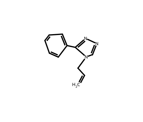 C=CCn1[c]nnc1-c1ccccc1